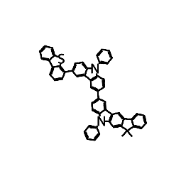 CC1(C)c2ccccc2-c2cc3c4cc(-c5ccc6c(c5)c5cc(-c7cccc8c7sc7ccccc78)ccc5n6-c5ccccc5)ccc4n(-c4ccccc4)c3cc21